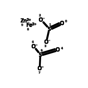 O=S([O-])[O-].O=S([O-])[O-].[Fe+2].[Zn+2]